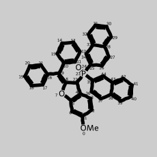 COc1ccc2c(c1)OC(=C(c1ccccc1)c1ccccc1)C2P(=O)(c1ccc2ccccc2c1)c1ccc2ccccc2c1